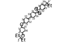 CCC(C)(CC)Oc1ccc(Oc2ccc(-c3ccc(S(=O)(=O)c4ccc(C(C)(C)CC)cc4)cc3)cc2)cc1